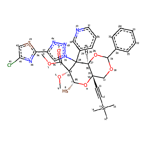 COC(=O)[C@]1(OC)[C@@H](S)O[C@@]2(C#C[Si](C)(C)C)COC(c3ccccc3)O[C@@H]2C1(c1cccnc1)n1cc(-c2nc(Cl)cs2)nn1